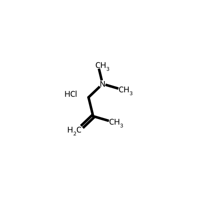 C=C(C)CN(C)C.Cl